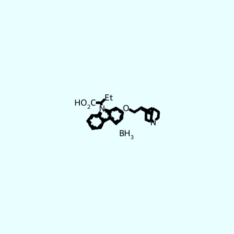 B.CCC(C(=O)O)n1c2ccccc2c2ccc(OC/C=C3\CN4CCC3CC4)cc21